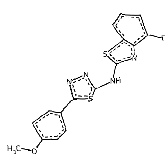 COc1ccc(-c2nnc(Nc3nc4c(F)cccc4s3)s2)cc1